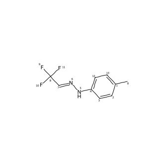 Cc1ccc(N/N=C/C(F)(F)F)cc1